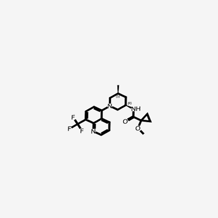 COC1(C(=O)N[C@@H]2C[C@H](C)CN(c3ccc(C(F)(F)F)c4ncccc34)C2)CC1